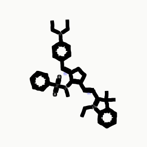 CCN(CC)c1ccc(/C=C2\CCC(/C=C/C3=[N+](CC)c4ccccc4C3(C)C)=C2N(C)S(=O)(=O)c2ccccc2)cc1